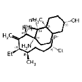 C=C([C@@H](C)[C@]1(N)CCC2C[C@@H](O)CC[C@]2(C)[C@@]1(N)CCC)[C@H](CC)[C@H](C)CC[C@@H](CC)C(C)C